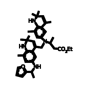 CCOC(=O)CC(C)N(CC1=CC(C)(C)Nc2c(C)cc(NC(C)c3ccco3)cc21)c1cc(C)c2c(c1)C(C)=CC(C)(C)N2